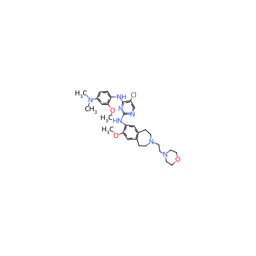 COc1cc2c(cc1Nc1ncc(Cl)c(Nc3ccc(N(C)C)cc3OC)n1)CCN(CCN1CCOCC1)CC2